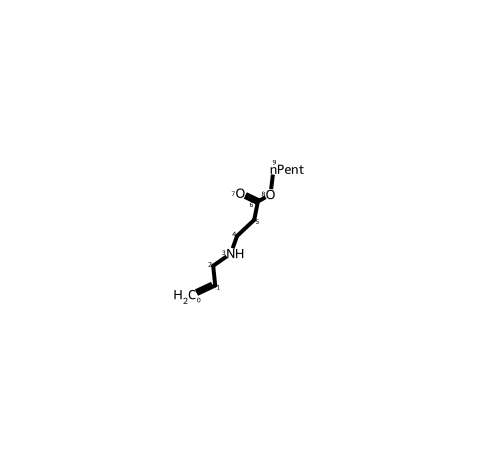 C=CCNCCC(=O)OCCCCC